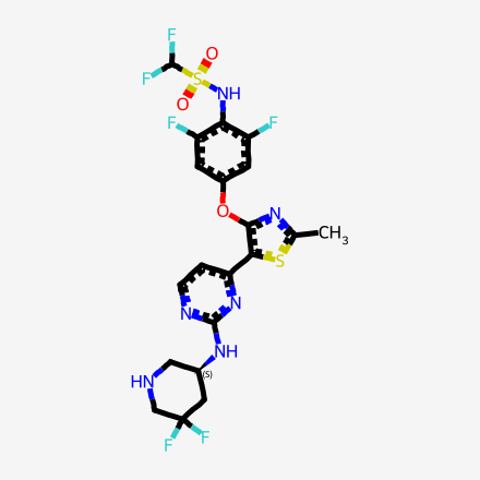 Cc1nc(Oc2cc(F)c(NS(=O)(=O)C(F)F)c(F)c2)c(-c2ccnc(N[C@@H]3CNCC(F)(F)C3)n2)s1